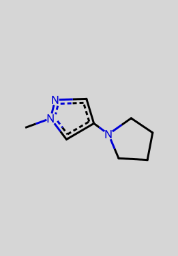 Cn1cc(N2CCCC2)cn1